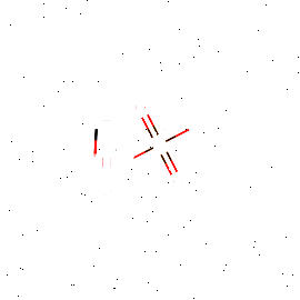 CO.O=S(=O)([O-])[O-].[Cu+2]